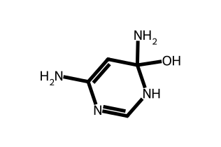 NC1=CC(N)(O)NC=N1